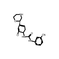 N#Cc1cccc(NC(=O)NC2CC=C([C@@H]3CNCCO3)C=C2Cl)c1